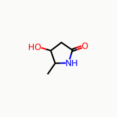 CC1NC(=O)CC1O